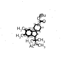 CC(=O)N(C)C(C)(C)C1CC2(CCN(C(=O)OC(C)(C)C)CC2)c2cc(C)c(C)cc21